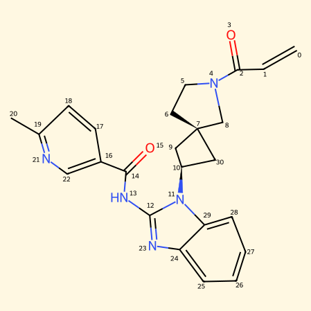 C=CC(=O)N1CC[C@]2(C1)C[C@H](n1c(NC(=O)c3ccc(C)nc3)nc3ccccc31)C2